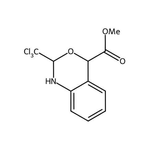 COC(=O)C1OC(C(Cl)(Cl)Cl)Nc2ccccc21